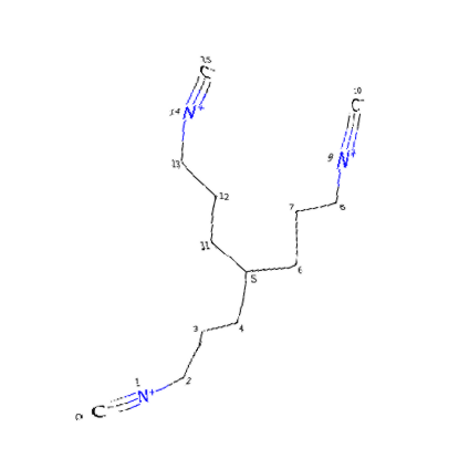 [C-]#[N+]CCCC(CCC[N+]#[C-])CCC[N+]#[C-]